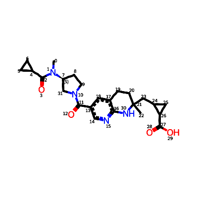 CN(C(=O)C1CC1)[C@H]1CCN(C(=O)c2cnc3c(c2)CCC(C)(CC2CC2C(=O)O)N3)C1